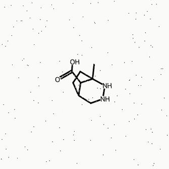 CC12CCC(CNN1)C2C(=O)O